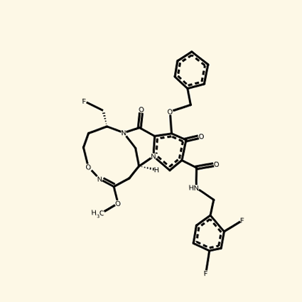 CO/C1=N/OCC[C@H](CF)N2C[C@H](C1)n1cc(C(=O)NCc3ccc(F)cc3F)c(=O)c(OCc3ccccc3)c1C2=O